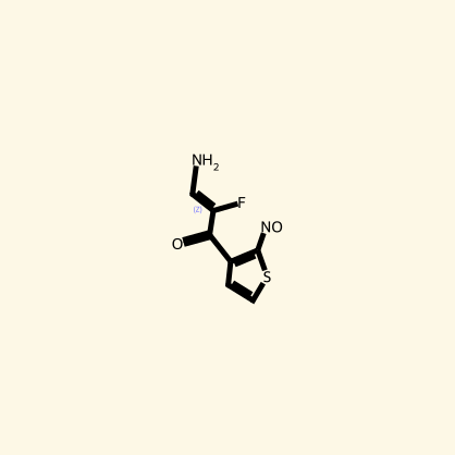 N/C=C(\F)C(=O)c1ccsc1N=O